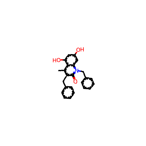 Cc1c(Cc2ccccc2)c(=O)n(Cc2ccccc2)c2cc(O)cc(O)c12